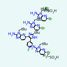 Br.CC(C)(C)Cn1c(N)nc2ccc(-c3nc(C(C)(C)C)[nH]c3-c3ccc(F)cc3)nc21.CC(C)(C)Cn1c(N)nc2ccc(Br)nc21.CC(C)(C)Cn1c(N)nc2ccc(Br)nc21.CC(C)(C)Cn1c(N)nc2ccc(Br)nc21.CS(=O)(=O)O.CS(=O)(=O)O